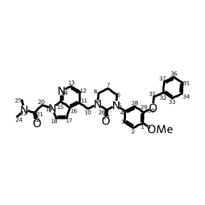 COc1ccc(N2CCCN(Cc3ccnc4c3ccn4CC(=O)N(C)C)C2=O)cc1OCc1ccccc1